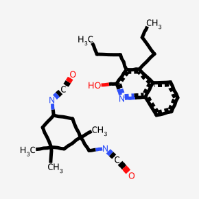 CC1(C)CC(N=C=O)CC(C)(CN=C=O)C1.CCCc1c(O)nc2ccccc2c1CCC